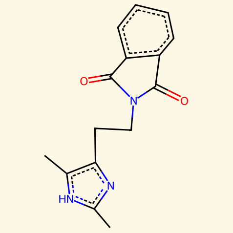 Cc1nc(CCN2C(=O)c3ccccc3C2=O)c(C)[nH]1